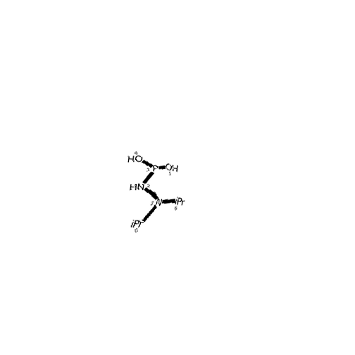 CC(C)N(NP(O)O)C(C)C